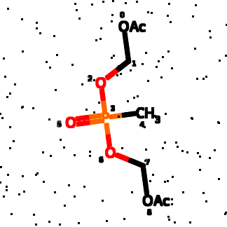 CC(=O)OCOP(C)(=O)OCOC(C)=O